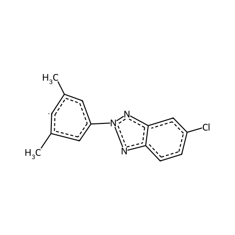 Cc1[c]c(C)cc(-n2nc3ccc(Cl)cc3n2)c1